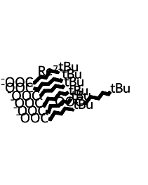 CC(C)(C)CCCCCC(=O)[O-].CC(C)(C)CCCCCC(=O)[O-].CC(C)(C)CCCCCC(=O)[O-].CC(C)(C)CCCCCC(=O)[O-].CC(C)(C)CCCCCC(=O)[O-].CC(C)(C)CCCCCC(=O)[O-].CC(C)(C)CCCCCC(=O)[O-].[Re+7]